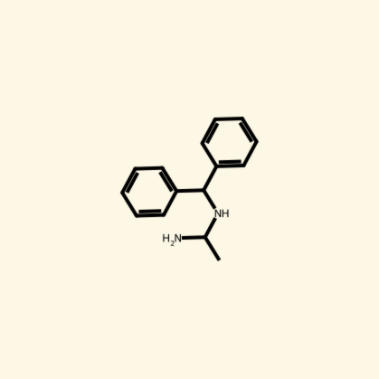 CC(N)NC(c1ccccc1)c1ccccc1